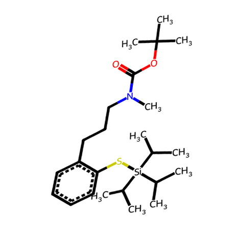 CC(C)[Si](Sc1ccccc1CCCN(C)C(=O)OC(C)(C)C)(C(C)C)C(C)C